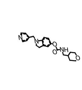 O=C(NCC1CCOCC1)Oc1ccc2c(c1)CCN2Cc1ccncc1